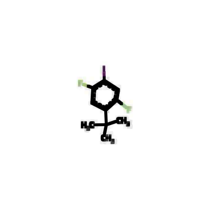 CC(C)(C)c1cc(F)c(I)cc1F